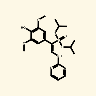 COc1cc(C(=CNc2ncccn2)P(=O)(OC(C)C)OC(C)C)cc(OC)c1O